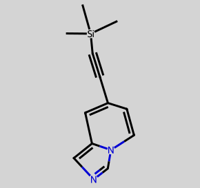 C[Si](C)(C)C#Cc1ccn2cncc2c1